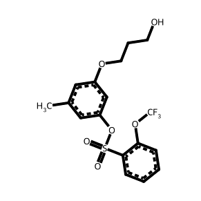 Cc1cc(OCCCO)cc(OS(=O)(=O)c2ccccc2OC(F)(F)F)c1